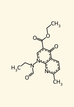 CCOC(=O)c1cn(N(C=O)CC)c2nc(C)ccc2c1=O